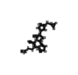 CCCn1c(=O)c2[nH]c(-c3cnn(CC4CC4)c3)nc2n2ccnc12